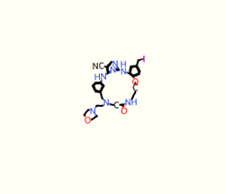 N#Cc1cnc2nc1Nc1cccc(c1)CN(CCN1CCOCC1)CCC(=O)NCCCOc1ccc(CI)cc1N2